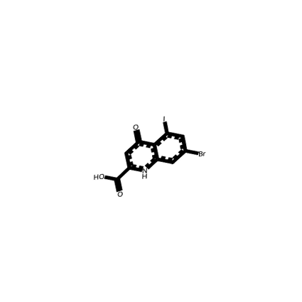 O=C(O)c1cc(=O)c2c(I)cc(Br)cc2[nH]1